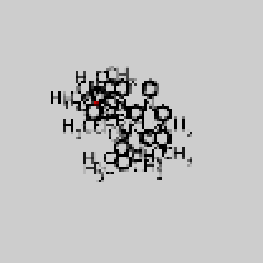 CC(C)(C)c1ccc2c(c1)C(C)(C)c1cccc(N3c4cc5c(cc4B4c6oc7cc8c(cc7c6N(c6ccc7c(c6)C(C)(C)CCC7(C)C)c6cc(N(c7ccccc7)c7ccccc7)cc3c64)C(C)(C)CCC8(C)C)C(C)(C)CCC5(C)C)c1-2